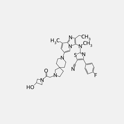 CCc1nc2c(C)cc(N3CCC4(CCN(CC(=O)N5CC(O)C5)C4)CC3)cn2c1N(C)c1nc(-c2ccc(F)cc2)c(C#N)s1